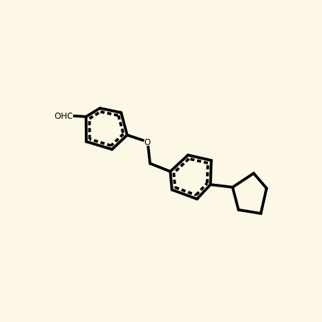 O=Cc1ccc(OCc2ccc(C3CCCC3)cc2)cc1